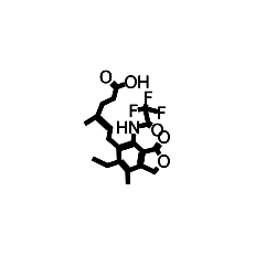 CCc1c(C)c2c(c(NC(=O)C(F)(F)F)c1C/C=C(\C)CCC(=O)O)C(=O)OC2